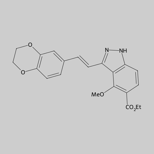 CCOC(=O)c1ccc2[nH]nc(C=Cc3ccc4c(c3)OCCO4)c2c1OC